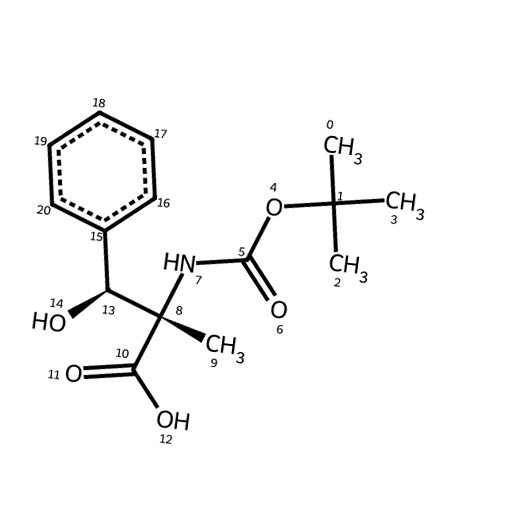 CC(C)(C)OC(=O)N[C@](C)(C(=O)O)[C@@H](O)c1ccccc1